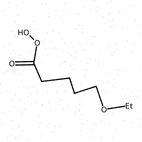 CCOCCCCC(=O)OO